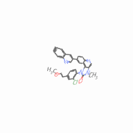 COCCc1ccc(-n2c(=O)n(C)c3cnc4ccc(-c5cnc6ccccc6c5)cc4c32)c(Cl)c1